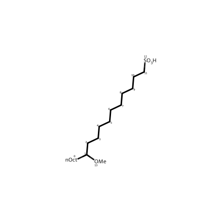 CCCCCCCCC(CCCCCCCCCCS(=O)(=O)O)OC